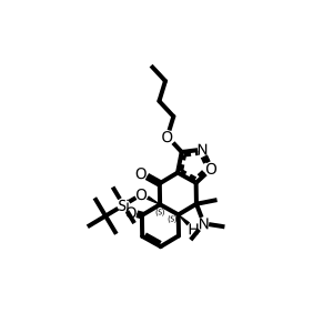 CCCCOc1noc2c1C(=O)[C@@]1(O[Si](C)(C)C(C)(C)C)C(=O)C=CC[C@H]1C2(C)N(C)C